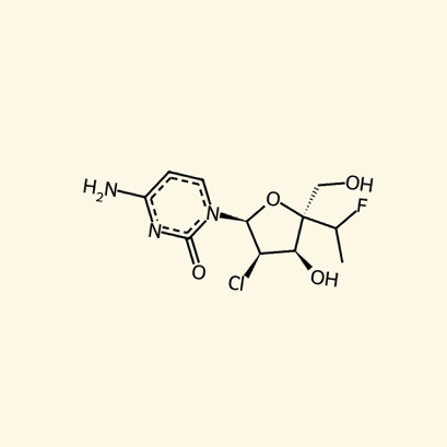 CC(F)[C@]1(CO)O[C@H](n2ccc(N)nc2=O)[C@H](Cl)[C@@H]1O